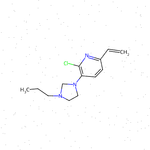 C=Cc1ccc(N2CCN(CCC)C2)c(Cl)n1